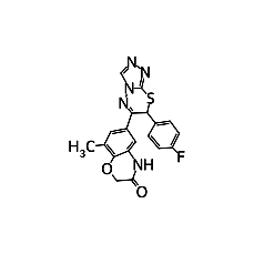 Cc1cc(C2=Nn3cnnc3SC2c2ccc(F)cc2)cc2c1OCC(=O)N2